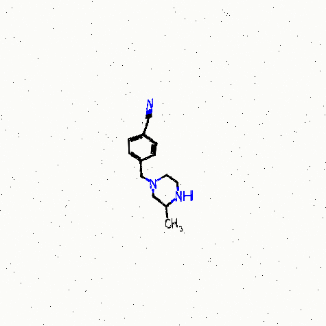 CC1CN(Cc2ccc(C#N)cc2)CCN1